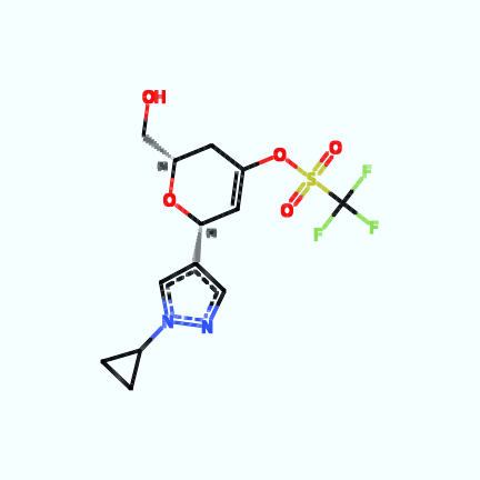 O=S(=O)(OC1=C[C@H](c2cnn(C3CC3)c2)O[C@H](CO)C1)C(F)(F)F